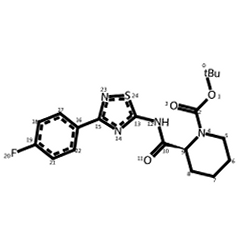 CC(C)(C)OC(=O)N1CCCC[C@H]1C(=O)Nc1nc(-c2ccc(F)cc2)ns1